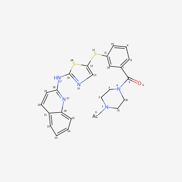 CC(=O)N1CCN(C(=O)c2cccc(Sc3cnc(Nc4ccc5ccccc5n4)s3)c2)CC1